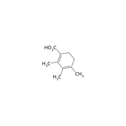 CC1=C(C)C(C)=C(C(=O)O)CC1